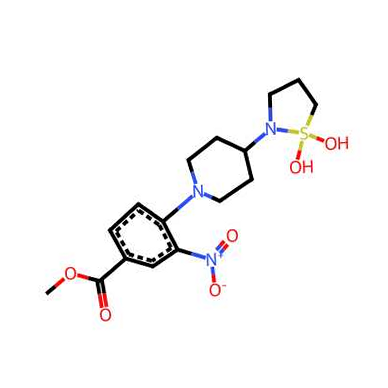 COC(=O)c1ccc(N2CCC(N3CCCS3(O)O)CC2)c([N+](=O)[O-])c1